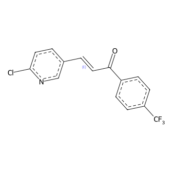 O=C(/C=C/c1ccc(Cl)nc1)c1ccc(C(F)(F)F)cc1